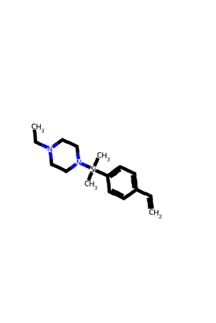 C=Cc1ccc([Si](C)(C)N2CCN(CC)CC2)cc1